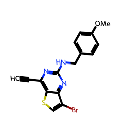 C#Cc1nc(NCc2ccc(OC)cc2)nc2c(Br)csc12